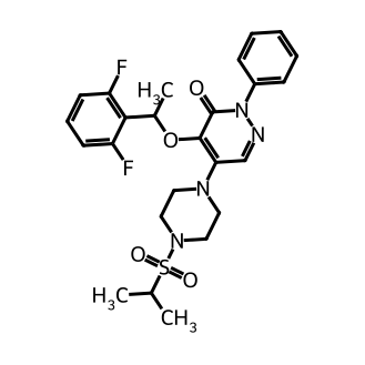 CC(Oc1c(N2CCN(S(=O)(=O)C(C)C)CC2)cnn(-c2ccccc2)c1=O)c1c(F)cccc1F